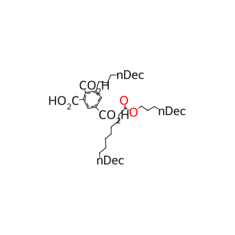 CCCCCCCCCCCCCCCCCC(=O)OCCCCCCCCCCCCC.CCCCCCCCCCCCCc1cc(C(=O)O)cc(C(=O)O)c1C(=O)O